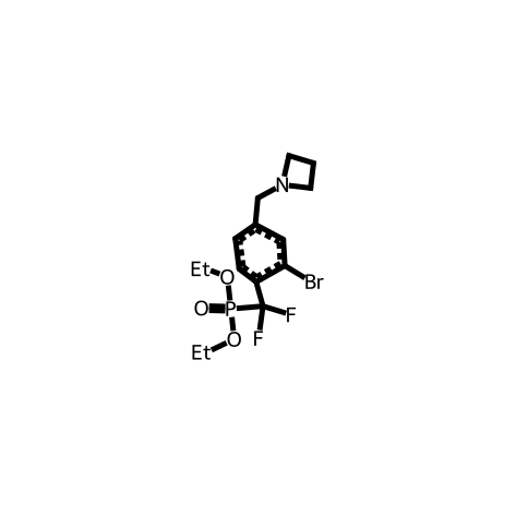 CCOP(=O)(OCC)C(F)(F)c1ccc(CN2CCC2)cc1Br